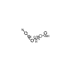 N#Cc1ccc(-c2cnn(Cc3cccc(C(=O)Nc4nc5c(s4)CC(C4CNc6ccccc64)CC5)c3)c2)cc1